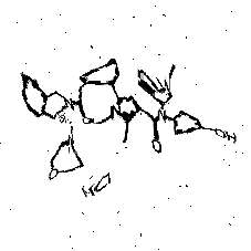 Cc1c(C(=O)N(c2ccc(O)cc2)c2cnn(C)c2)cc(-c2ccccc2C(=O)N2Cc3ccccc3C[C@H]2CN2CCOCC2)n1C.Cl